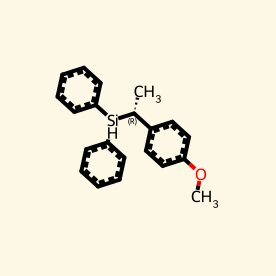 COc1ccc([C@@H](C)[SiH](c2ccccc2)c2ccccc2)cc1